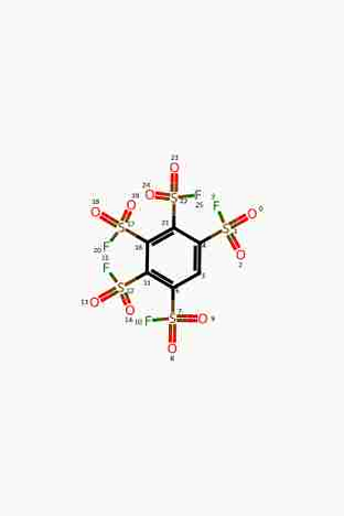 O=S(=O)(F)c1cc(S(=O)(=O)F)c(S(=O)(=O)F)c(S(=O)(=O)F)c1S(=O)(=O)F